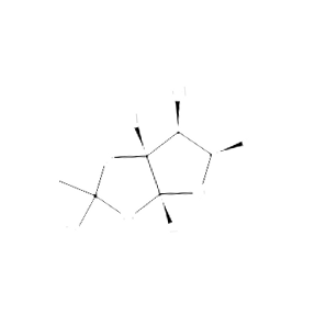 CCC[C@H]1O[C@@H]2OC(C)(C(C)C)O[C@@H]2[C@H]1O